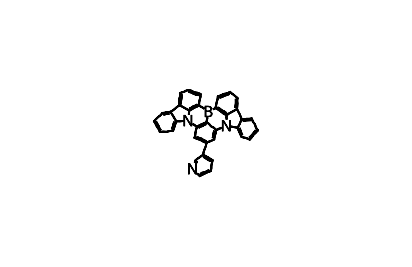 c1cncc(-c2cc3c4c(c2)-n2c5ccccc5c5cccc(c52)B4c2cccc4c5ccccc5n-3c24)c1